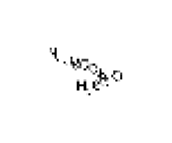 Cc1oc(-c2ccccc2)nc1COc1ccc2oc(CCCC#N)cc2c1